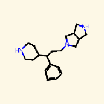 c1ccc(C(CCN2CC3CNCC3C2)C2CCNCC2)cc1